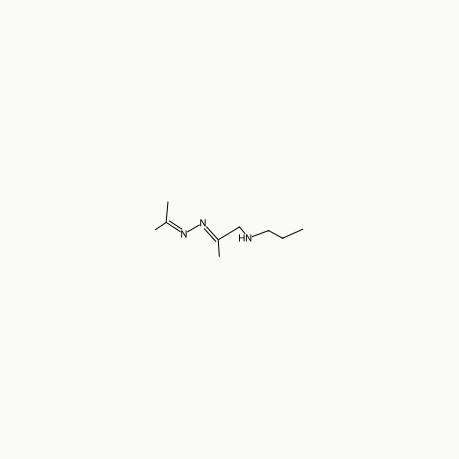 CCCNC/C(C)=N/N=C(C)C